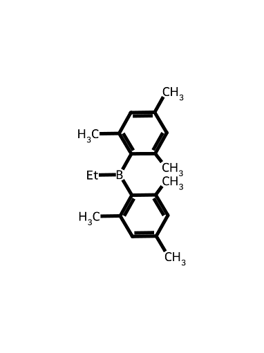 CCB(c1c(C)cc(C)cc1C)c1c(C)cc(C)cc1C